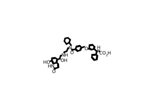 O=C(O)NC(c1ccccc1)c1cccc(OCc2ccc(C(=O)N(CCCNC[C@@H](O)c3ccc(O)c4[nH]c(=O)ccc34)CC3CCCCC3)cc2)c1